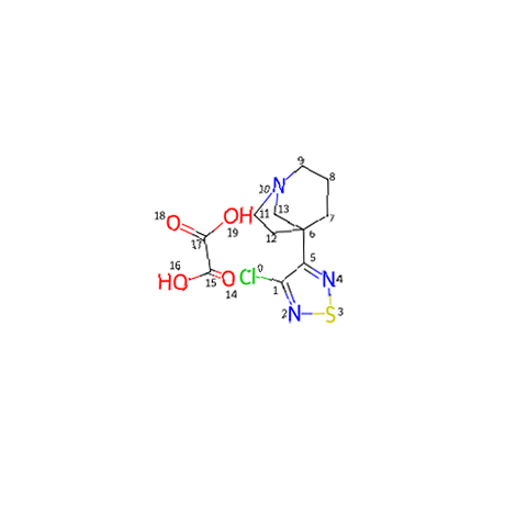 Clc1nsnc1C12CCCN(CC1)C2.O=C(O)C(=O)O